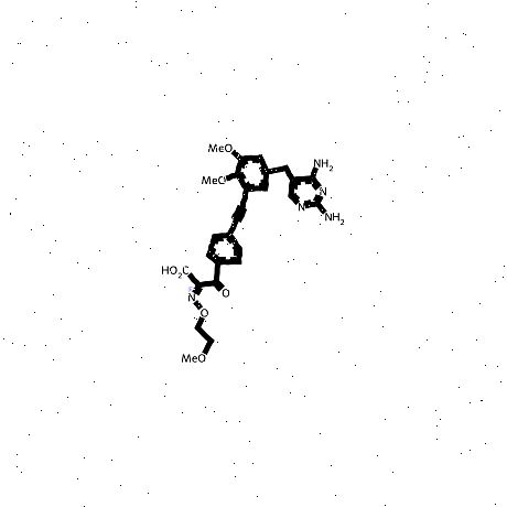 COCCO/N=C(/C(=O)O)C(=O)c1ccc(C#Cc2cc(Cc3cnc(N)nc3N)cc(OC)c2OC)cc1